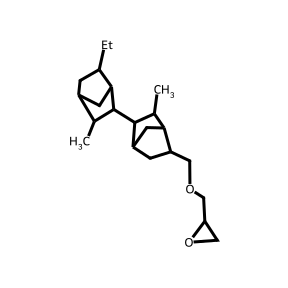 CCC1CC2CC1C(C1C3CC(COCC4CO4)C(C3)C1C)C2C